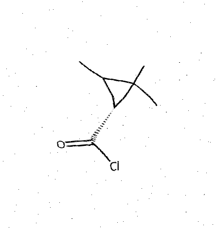 CC1[C@@H](C(=O)Cl)C1(C)C